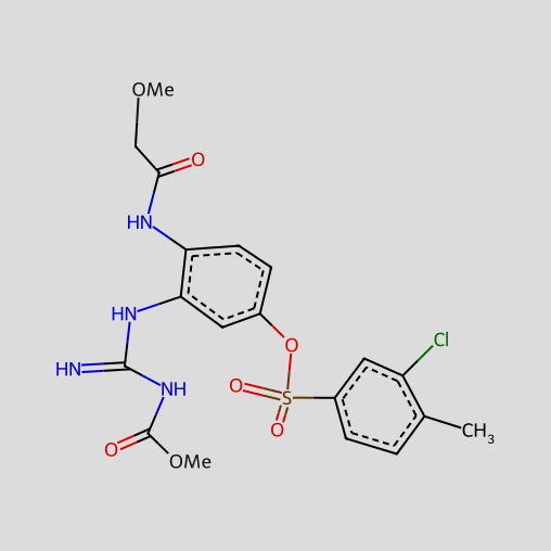 COCC(=O)Nc1ccc(OS(=O)(=O)c2ccc(C)c(Cl)c2)cc1NC(=N)NC(=O)OC